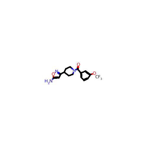 Nc1cc(C2CCN(C(=O)c3cccc(OC(F)(F)F)c3)CC2)no1